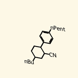 CCCCCc1ccc(C2CCC(CCCC)CC2C#N)cc1